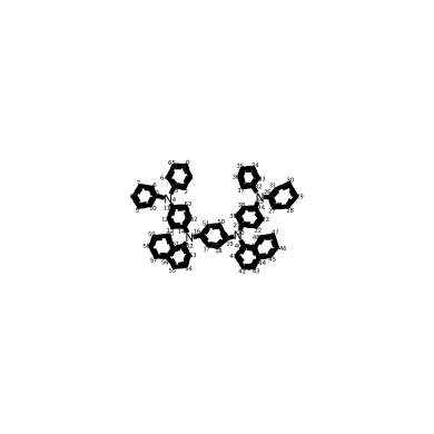 c1ccc(N(c2ccccc2)c2ccc(N(c3ccc(N(c4ccc(N(c5ccccc5)c5ccccc5)cc4)c4cccc5ccccc45)cc3)c3cccc4ccccc34)cc2)cc1